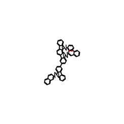 c1ccc(-n2c3ccccc3c3ccc4c5cc(-c6ccc7c(c6)c6ccccc6n7-c6ccc7ccccc7c6)ccc5n(-c5ccc6ccccc6c5)c4c32)cc1